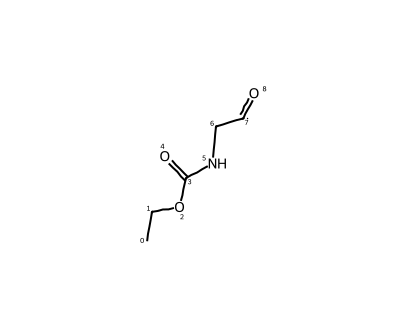 CCOC(=O)NC[C]=O